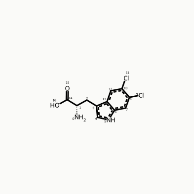 N[C@@H](Cc1c[nH]c2cc(Cl)c(Cl)cc12)C(=O)O